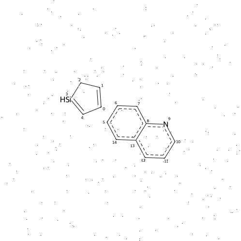 C1=CC[SiH]=C1.c1ccc2ncccc2c1